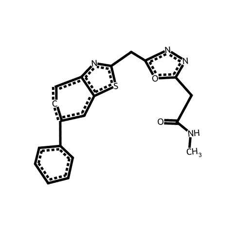 CNC(=O)Cc1nnc(Cc2nc3ccc(-c4ccccc4)cc3s2)o1